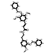 COc1ccc(CCNC(=O)/C=C/c2cc(OC)c(OCc3ccccc3)c(OC)c2)cc1OCc1ccccc1